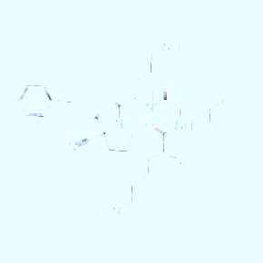 CC(C)C[C@H](NC(=O)[C@@H](N)CCCCN)C(=O)N[C@@H](CCCN)C(=O)N1CCCC1(C#N)C(=O)OCc1ccccc1